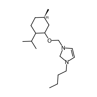 CCCCN1C=CN(COC2C[C@H](C)CCC2C(C)C)C1